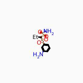 CCC(S(N)(=O)=O)S(=O)(=O)c1cccc(N)c1